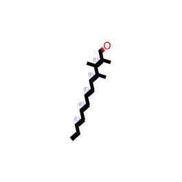 C=C/C=C/C=C/C=C/C=C(C)/C(C)=C(\C)C=O